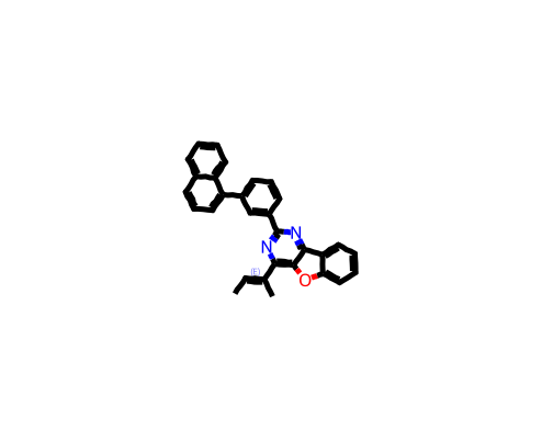 C/C=C(\C)c1nc(-c2cccc(-c3cccc4ccccc34)c2)nc2c1oc1ccccc12